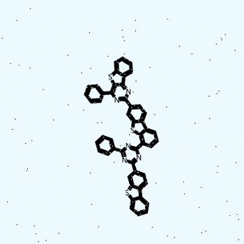 c1ccc(-c2nc(-c3ccc4c(c3)sc3ccccc34)nc(-c3cccc4c3sc3cc(-c5nc(-c6ccccc6)c6sc7ccccc7c6n5)ccc34)n2)cc1